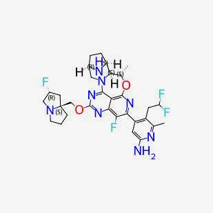 Cc1nc(N)cc(-c2nc3c4c(nc(OC[C@@]56CCCN5C[C@H](F)C6)nc4c2F)N2C[C@H]4CC[C@H](N4)[C@H]2[C@H](C)O3)c1CC(F)F